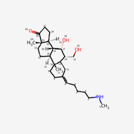 CNCCCC/C=C1/CC[C@@]2(C)C(C1)[C@@H](CO)[C@@H](O)[C@@H]1[C@@H]2CC[C@]2(C)C(=O)CC[C@@H]12